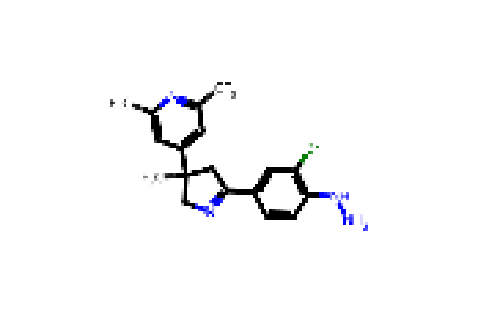 NNc1ccc(C2=NCC(c3cc(C(F)(F)F)nc(C(F)(F)F)c3)(C(F)(F)F)C2)cc1Br